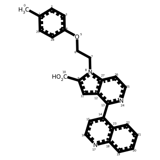 Cc1ccc(OCCn2c(C(=O)O)cc3c(-c4ccnc5ccccc45)nccc32)cc1